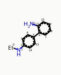 CCNc1ccc(-c2ccccc2N)cc1